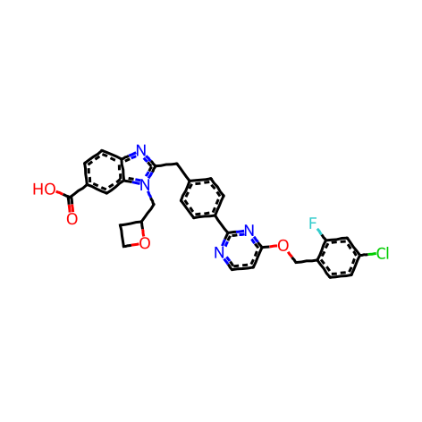 O=C(O)c1ccc2nc(Cc3ccc(-c4nccc(OCc5ccc(Cl)cc5F)n4)cc3)n(CC3CCO3)c2c1